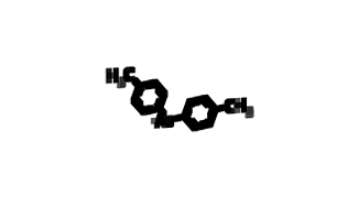 Cc1ccc([As]c2ccc(C)cc2)cc1